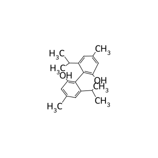 Cc1cc(O)c(-c2c(O)cc(C)cc2C(C)C)c(C(C)C)c1